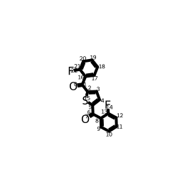 O=C(c1ccc(C(=O)c2ccccc2F)s1)c1ccccc1F